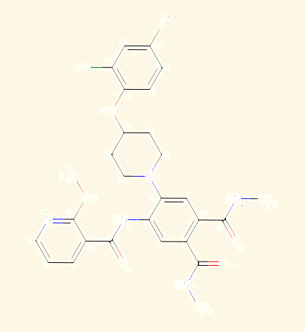 CNC(=O)c1cc(NC(=O)c2cccnc2OC)c(N2CCC(Oc3ccc(F)cc3F)CC2)cc1C(=O)NC